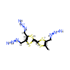 CC1=C(CN=[N+]=[N-])SC(=C2SC(CN=[N+]=[N-])=C(CN=[N+]=[N-])S2)S1